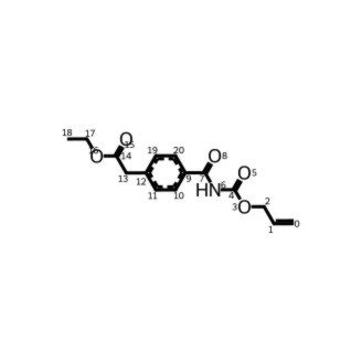 C=CCOC(=O)NC(=O)c1ccc(CC(=O)OCC)cc1